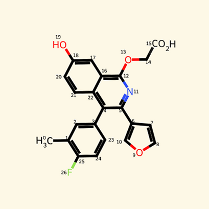 Cc1cc(-c2c(-c3ccoc3)nc(OCC(=O)O)c3cc(O)ccc23)ccc1F